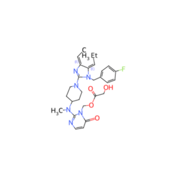 C/C=c1/nc(N2CCC(N(C)c3nccc(=O)n3COC(=O)CO)CC2)n(Cc2ccc(F)cc2)/c1=C/CC